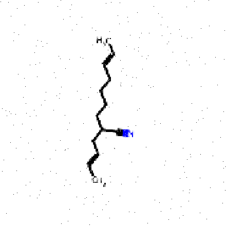 CC=CCCCCC(C#N)CC=CC